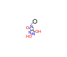 O=C1c2nc(O)nc(O)c2CN1Cc1ccccc1